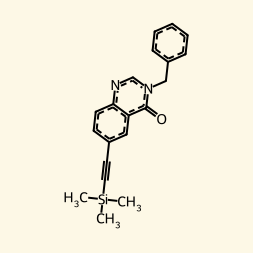 C[Si](C)(C)C#Cc1ccc2ncn(Cc3ccccc3)c(=O)c2c1